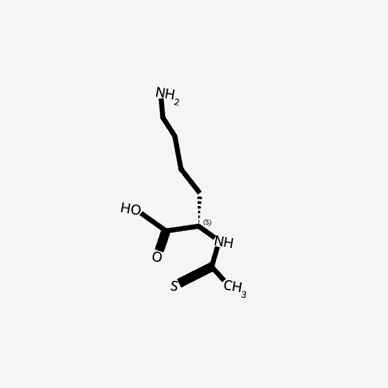 CC(=S)N[C@@H](CCCCN)C(=O)O